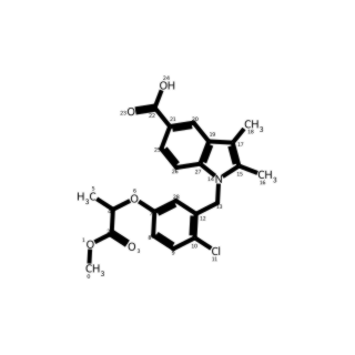 COC(=O)C(C)Oc1ccc(Cl)c(Cn2c(C)c(C)c3cc(C(=O)O)ccc32)c1